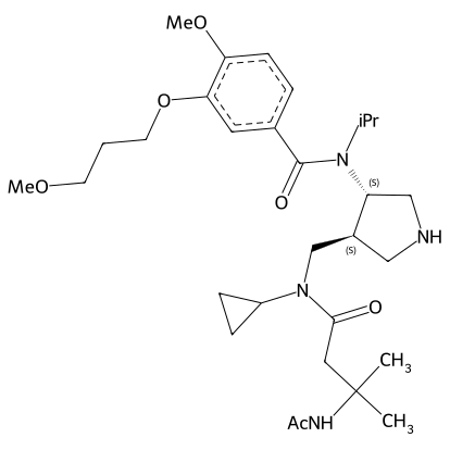 COCCCOc1cc(C(=O)N(C(C)C)[C@@H]2CNC[C@H]2CN(C(=O)CC(C)(C)NC(C)=O)C2CC2)ccc1OC